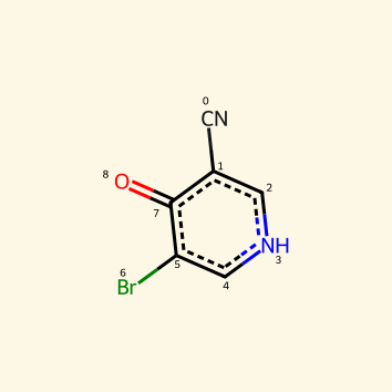 N#Cc1c[nH]cc(Br)c1=O